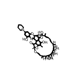 C/C1=C/C=C/[C@H](C)[C@H](O)[C@@H](C)[C@@H](O)[C@@H](C)[C@H](O)[C@H](C)[C@@H](C)/C=C/O[C@@]2(C)Oc3c(C)c(O)c4c(=O)c(c5oc6cc(N7CCCCC7)cc(O)c6nc-5c4c3C2=O)NC1=O